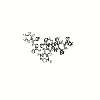 CCN(CCC(=O)OCC(=O)c1ccccc1)c1ccc(/N=N/c2c(Br)cc([N+](=O)[O-])cc2[N+](=O)[O-])c(NC(C)=O)c1